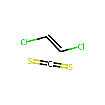 Cl/C=C/Cl.S=C=S